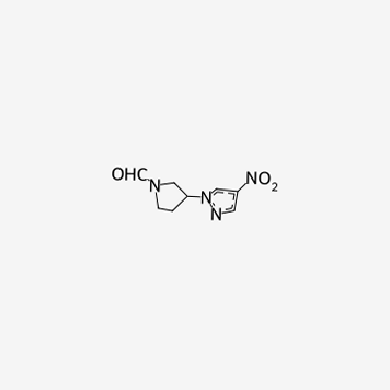 O=CN1CCC(n2cc([N+](=O)[O-])cn2)C1